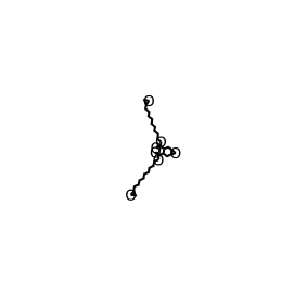 O=C(OCCCCCCCCCC1CO1)C1CC2OC2CC1C(=O)OCCCCCCCCCC1CO1